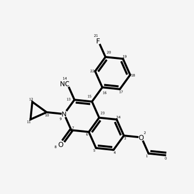 C=COc1ccc2c(=O)n(C3CC3)c(C#N)c(-c3cccc(F)c3)c2c1